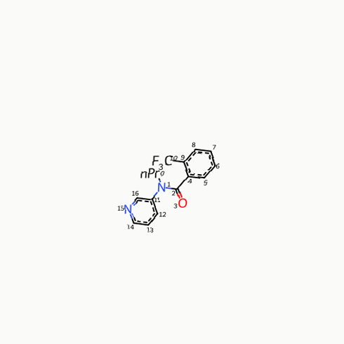 CCCN(C(=O)c1ccccc1C(F)(F)F)c1cccnc1